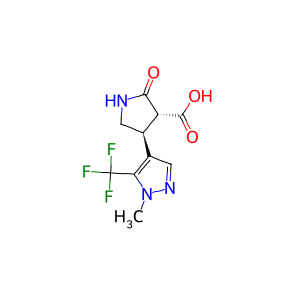 Cn1ncc([C@H]2CNC(=O)[C@@H]2C(=O)O)c1C(F)(F)F